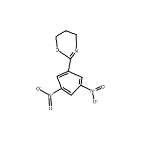 O=[N+]([O-])c1cc(C2=NCCCO2)cc([N+](=O)[O-])c1